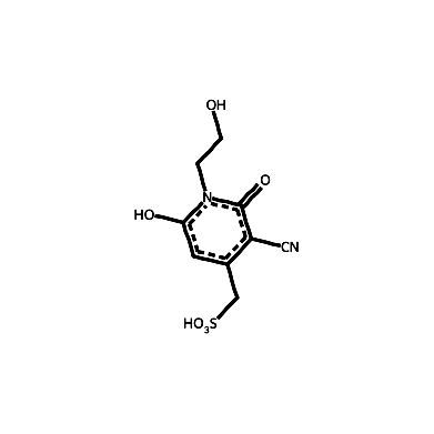 N#Cc1c(CS(=O)(=O)O)cc(O)n(CCO)c1=O